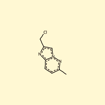 Cc1ccc2nc(CCl)cn2n1